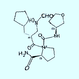 NC(=O)[C@@H]1CCC[N+]1(C(=O)N[C@H]1CCOC1)C(=O)[C@H](CC1CCCC1)CN(O)C=O